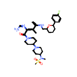 C=C(NCC1CCCC(c2ccc(F)cc2)O1)/C(C)=C(\N=C/N)C(=O)N1CCC(N2CCC(N(C)S(C)(=O)=O)CC2)CC1